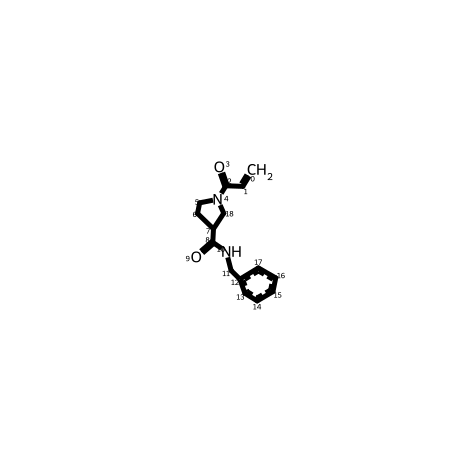 C=CC(=O)N1CCC(C(=O)NCc2ccccc2)C1